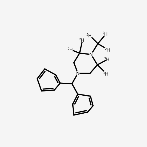 [2H]C([2H])([2H])N1C([2H])([2H])CN(C(c2ccccc2)c2ccccc2)CC1([2H])[2H]